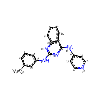 COc1cccc(Nc2nc(Nc3ccncc3)c3ccccc3n2)c1